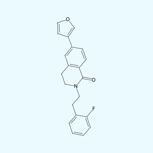 O=C1c2ccc(-c3ccoc3)cc2CCN1CCc1ccccc1F